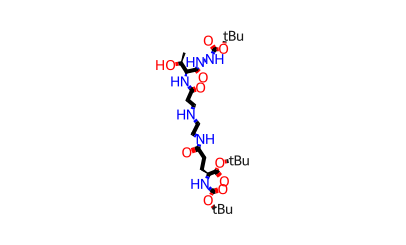 C[C@H](O)[C@H](NC(=O)CCNCCNC(=O)CC[C@H](NC(=O)OC(C)(C)C)C(=O)OC(C)(C)C)C(=O)NNC(=O)OC(C)(C)C